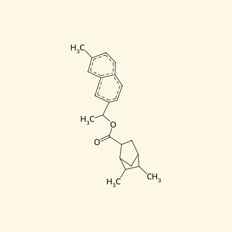 Cc1ccc2ccc(C(C)OC(=O)C3CC4CC3C(C)C4C)cc2c1